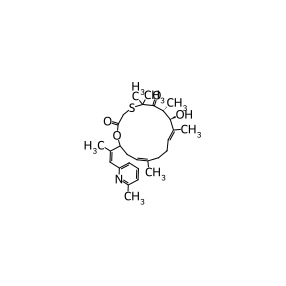 C/C1=C/CC(/C(C)=C\c2cccc(C)n2)OC(=O)CSC(C)(C)C(=O)[C@H](C)[C@@H](O)/C(C)=C/CC1